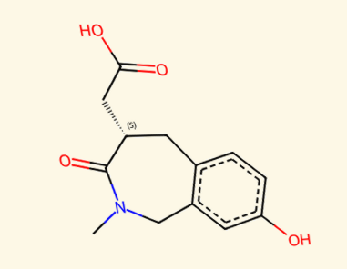 CN1Cc2cc(O)ccc2C[C@@H](CC(=O)O)C1=O